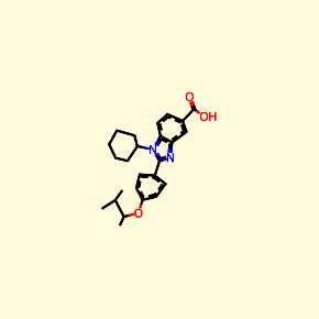 CC(C)C(C)Oc1ccc(-c2nc3cc(C(=O)O)ccc3n2C2CCCCC2)cc1